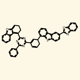 C1=CC(c2nc(C3=c4c(oc5ccccc45)=CCC3)nc(-c3ccccc3)n2)=CC(c2cccc3c2sc2ccc(-c4nc5ccccc5o4)cc23)C1